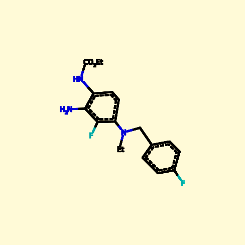 CCOC(=O)Nc1ccc(N(CC)Cc2ccc(F)cc2)c(F)c1N